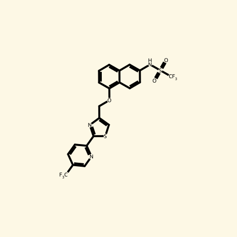 O=S(=O)(Nc1ccc2c(OCc3csc(-c4ccc(C(F)(F)F)cn4)n3)cccc2c1)C(F)(F)F